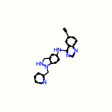 C#Cc1ccc2ncnc(Nc3ccc4c(c3)CNN4Cc3ccccn3)c2c1